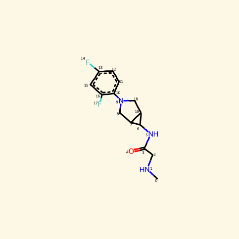 CNCC(=O)NC1C2CN(c3ccc(F)cc3F)CC21